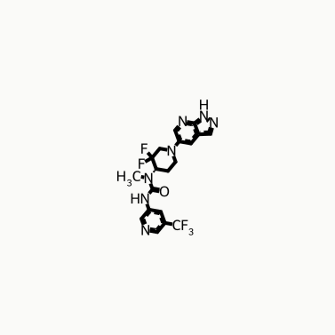 CN(C(=O)Nc1cncc(C(F)(F)F)c1)[C@H]1CCN(c2cnc3[nH]ncc3c2)CC1(F)F